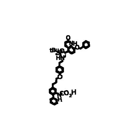 CC(C)(C)[Si](C)(C)O[C@@H](CNCCc1ccc(OCCCc2ccc(-c3ccccc3)c(NC(=O)O)c2)cc1)c1ccc(OCc2ccccc2)c2[nH]c(=O)ccc12